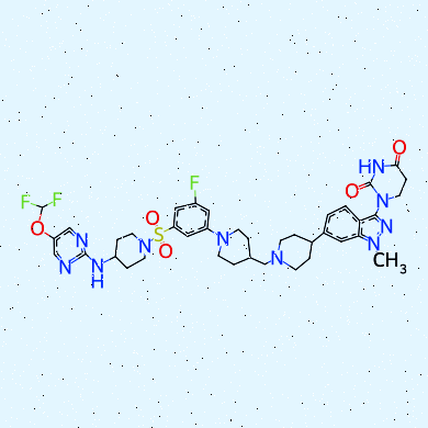 Cn1nc(N2CCC(=O)NC2=O)c2ccc(C3CCN(CC4CCN(c5cc(F)cc(S(=O)(=O)N6CCC(Nc7ncc(OC(F)F)cn7)CC6)c5)CC4)CC3)cc21